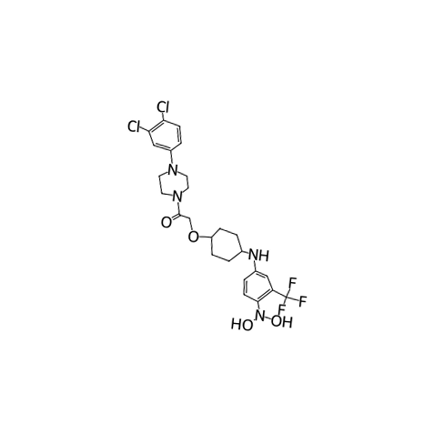 O=C(COC1CCC(Nc2ccc(N(O)O)c(C(F)(F)F)c2)CC1)N1CCN(c2ccc(Cl)c(Cl)c2)CC1